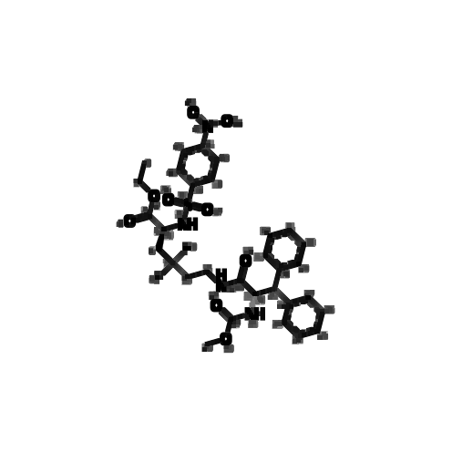 CCOC(=O)[C@H](CC(F)(F)CCNC(=O)[C@@H](NC(=O)OC)C(c1ccccc1)c1ccccc1)NS(=O)(=O)c1ccc([N+](=O)[O-])cc1